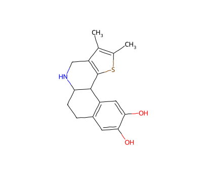 Cc1sc2c(c1C)CNC1CCc3cc(O)c(O)cc3C21